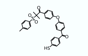 Cc1ccc(S(=O)(=O)C(C)(C)C(=O)c2ccc(Oc3ccc(C(=O)c4ccc(S)cc4)cc3)cc2)cc1